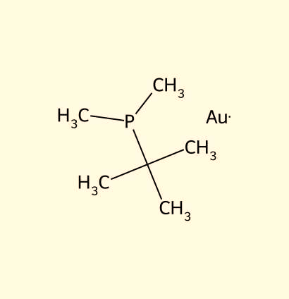 CP(C)C(C)(C)C.[Au]